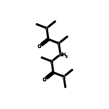 CN(C)C(=O)N(C)[SiH2]N(C)C(=O)N(C)C